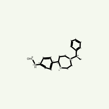 C[C@H](c1ccccc1)N1CCOC(c2ccc(NC=O)cc2)CC1